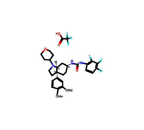 COc1ccc([C@@]23CC[C@@H](NC(=O)Nc4ccc(F)c(F)c4F)C[C@@H]2N(C2CCOCC2)CC3)cc1OC.O=C(O)C(F)(F)F